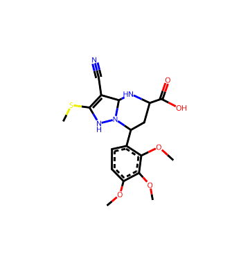 COc1ccc(C2CC(C(=O)O)NC3C(C#N)=C(SC)NN32)c(OC)c1OC